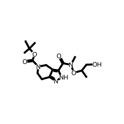 CC(CO)ON(C)C(=O)c1[nH]nc2c1CN(C(=O)OC(C)(C)C)CC2